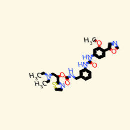 CCN(CC)CC(OC(=O)NCc1cccc(NC(=O)Nc2ccc(-c3cnco3)c(OC)c2)c1)c1nccs1